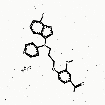 COc1cc(C(C)=O)ccc1OCCCN(c1ccncc1)c1csc2c(Cl)cccc12.Cl.O